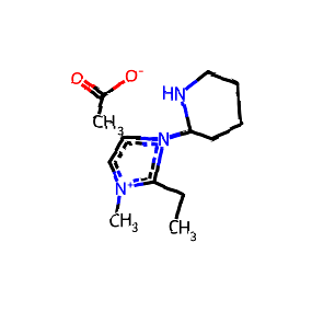 CC(=O)[O-].CCc1n(C2CCCCN2)cc[n+]1C